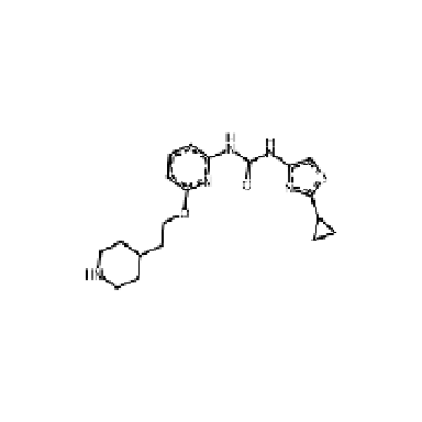 O=C(Nc1cccc(OCCC2CCNCC2)n1)Nc1csc(C2CC2)n1